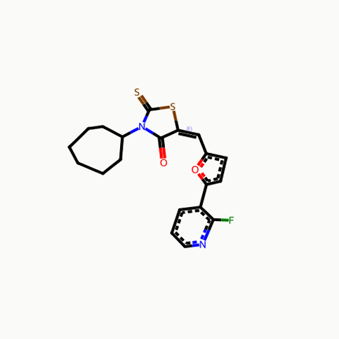 O=C1/C(=C\c2ccc(-c3cccnc3F)o2)SC(=S)N1C1CCCCCC1